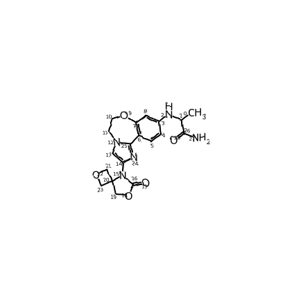 CC(Nc1ccc2c(c1)OCCn1cc(N3C(=O)OCC34COC4)nc1-2)C(N)=O